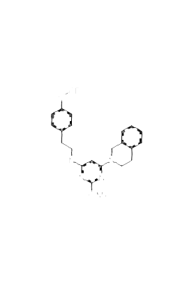 COc1nc(NCCc2ccc(OC(F)(F)F)cc2)cc(N2CCc3ccccc3C2)n1